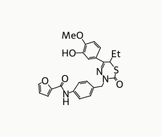 CCC1SC(=O)N(Cc2ccc(NC(=O)c3ccco3)cc2)N=C1c1ccc(OC)c(O)c1